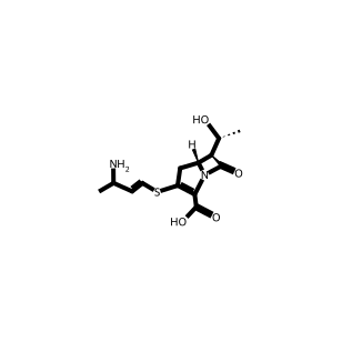 CC(N)/C=C/SC1=C(C(=O)O)N2C(=O)[C@H]([C@@H](C)O)[C@H]2C1